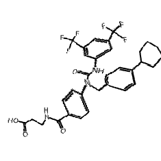 O=C(O)CCNC(=O)c1ccc(N(Cc2ccc(C3CCCCC3)cc2)C(=O)Nc2cc(C(F)(F)F)cc(C(F)(F)F)c2)cc1